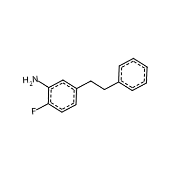 Nc1cc(CCc2ccccc2)ccc1F